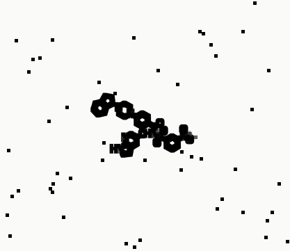 O=C(NS(=O)(=O)c1cccc([N+](=O)[O-])c1)c1ccc(N2CCN([C@H]3CCc4ccccc43)CC2)cc1Oc1cnc2[nH]ccc2c1